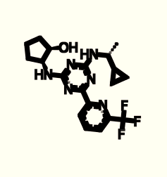 C[C@@H](Nc1nc(N[C@H]2CCC[C@H]2O)nc(-c2cccc(C(F)(F)F)n2)n1)C1CC1